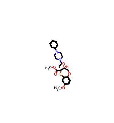 COC(=O)[C@]1(CC(=O)N2CCN(c3ccccc3)CC2)Sc2cc(OC)ccc2OC[C@@H]1O